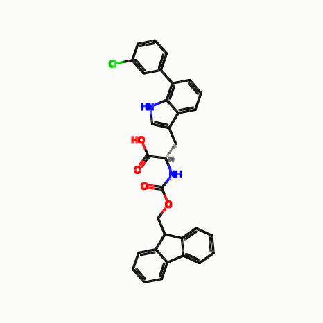 O=C(N[C@@H](Cc1c[nH]c2c(-c3cccc(Cl)c3)cccc12)C(=O)O)OCC1c2ccccc2-c2ccccc21